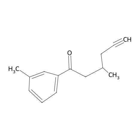 C#CCC(C)CC(=O)c1cccc(C)c1